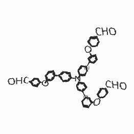 O=CC1=CCC(OC2=C[C@H](c3ccc(N(C4=CC[C@H](c5cccc(OC6C=CC(C=O)=CC6)c5)C=C4)c4ccc(-c5cccc(Oc6ccc(C=O)cc6)c5)cc4)cc3)CC=C2)C=C1